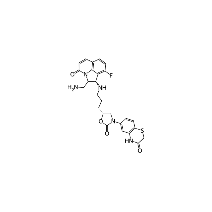 NCC1[C@H](NCCC[C@@H]2CN(c3ccc4c(c3)NC(=O)CS4)C(=O)O2)c2c(F)ccc3ccc(=O)n1c23